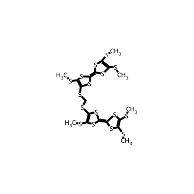 CSC1=C(SC)SC(=C2SC(SC)=C(SCSC3=C(SC)SC(=C4SC(SC)=C(SC)S4)S3)S2)S1